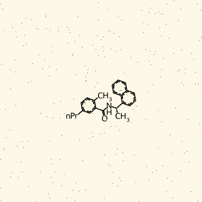 CCCc1ccc(C)c(C(=O)N[C@H](C)c2cccc3ccccc23)c1